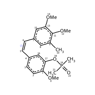 COc1ccc(/C=C\c2cc(C)c(OC)c(OC)c2)cc1OP(C)(C)=O